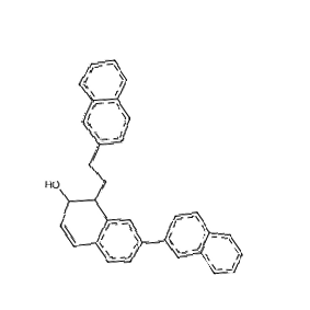 OC1C=Cc2ccc(-c3ccc4ccccc4c3)cc2C1CCc1ccc2ccccc2c1